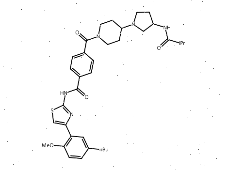 CCCCc1ccc(OC)c(-c2csc(NC(=O)c3ccc(C(=O)N4CCC(N5CCC(NC(=O)C(C)C)C5)CC4)cc3)n2)c1